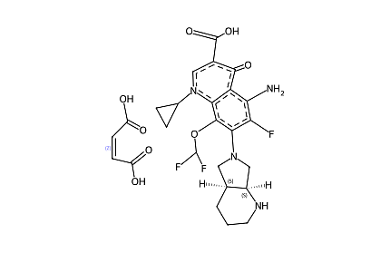 Nc1c(F)c(N2C[C@@H]3CCCN[C@@H]3C2)c(OC(F)F)c2c1c(=O)c(C(=O)O)cn2C1CC1.O=C(O)/C=C\C(=O)O